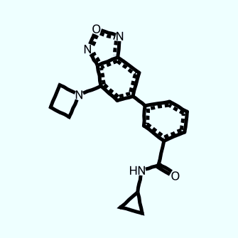 O=C(NC1CC1)c1cccc(-c2cc(N3CCC3)c3nonc3c2)c1